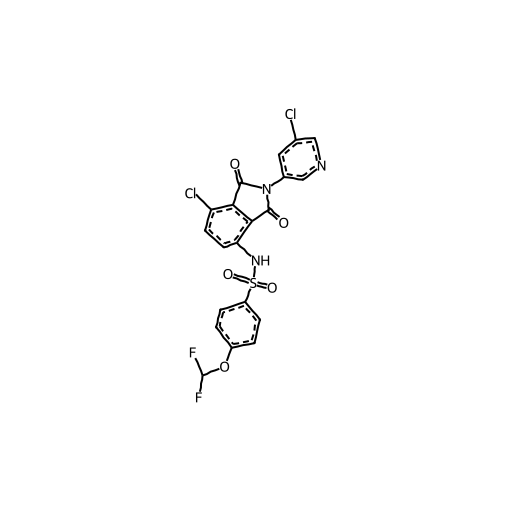 O=C1c2c(Cl)ccc(NS(=O)(=O)c3ccc(OC(F)F)cc3)c2C(=O)N1c1cncc(Cl)c1